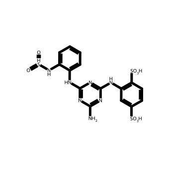 Nc1nc(Nc2ccccc2N[SH](=O)=O)nc(Nc2cc(S(=O)(=O)O)ccc2S(=O)(=O)O)n1